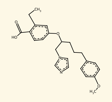 CCc1cc(OC(CCCc2ccc(OC)cc2)Cn2ccnc2)ccc1C(=O)O